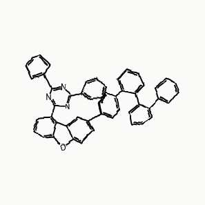 c1ccc(-c2nc(-c3ccccc3)nc(-c3cccc4oc5ccc(-c6ccc(-c7ccccc7-c7ccccc7-c7ccccc7)cc6)cc5c34)n2)cc1